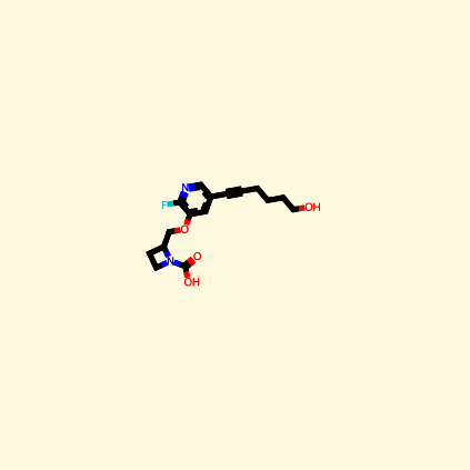 O=C(O)N1CCC1COc1cc(C#CCCCCO)cnc1F